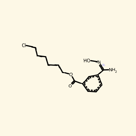 N/C(=N/O)c1cccc(C(=O)OCCCCCCCl)c1